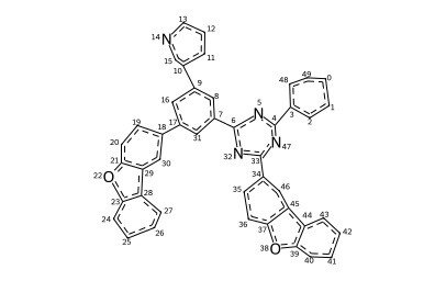 c1ccc(-c2nc(-c3cc(-c4cccnc4)cc(-c4ccc5oc6ccccc6c5c4)c3)nc(-c3ccc4oc5ccccc5c4c3)n2)cc1